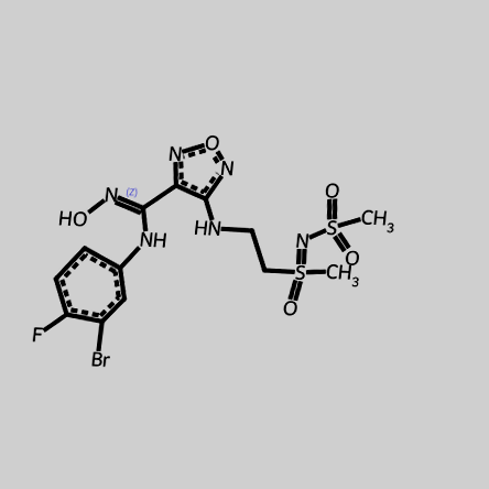 CS(=O)(=O)N=S(C)(=O)CCNc1nonc1/C(=N/O)Nc1ccc(F)c(Br)c1